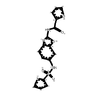 O=C(Nc1nc2ccc(NS(=O)(=O)c3cccs3)cc2s1)c1ccco1